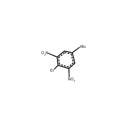 CCc1c([N+](=O)[O-])cc(C(C)(C)C)cc1[N+](=O)[O-]